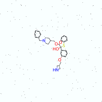 O=C(OCC1CCN(Cc2ccccc2)CC1)[C@](O)(Sc1ccccc1)c1cccc(OCC2CNC2)c1